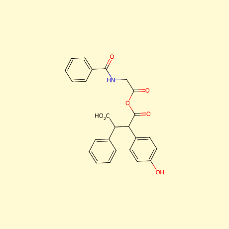 O=C(CNC(=O)c1ccccc1)OC(=O)C(c1ccc(O)cc1)C(C(=O)O)c1ccccc1